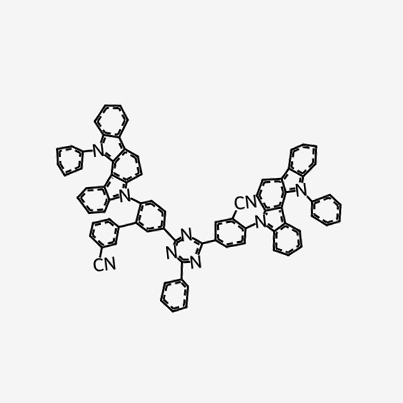 N#Cc1cccc(-c2cc(-c3nc(-c4ccccc4)nc(-c4ccc(-n5c6ccccc6c6c5ccc5c7ccccc7n(-c7ccccc7)c56)c(C#N)c4)n3)ccc2-n2c3ccccc3c3c2ccc2c4ccccc4n(-c4ccccc4)c23)c1